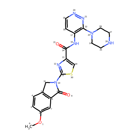 COc1ccc2c(c1)C(=O)N(c1nc(C(=O)Nc3ccnnc3N3CCNCC3)cs1)C2